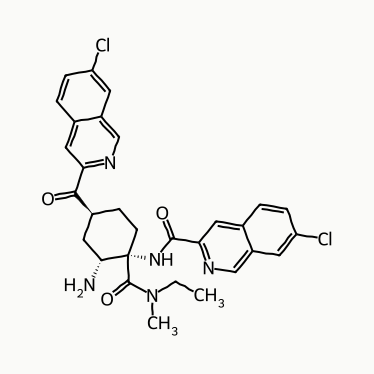 CCN(C)C(=O)[C@]1(NC(=O)c2cc3ccc(Cl)cc3cn2)CC[C@H](C(=O)c2cc3ccc(Cl)cc3cn2)C[C@H]1N